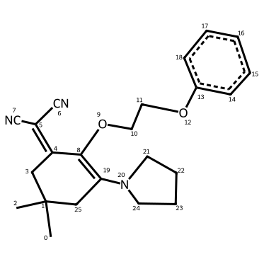 CC1(C)CC(=C(C#N)C#N)C(OCCOc2ccccc2)=C(N2CCCC2)C1